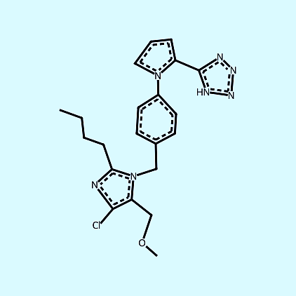 CCCCc1nc(Cl)c(COC)n1Cc1ccc(-n2cccc2-c2nnn[nH]2)cc1